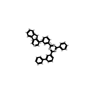 c1ccc(-c2cccc(-c3nc(-c4ccccc4)nc(-c4cccc(-c5cncc6c5Cc5ccccc5-6)c4)n3)c2)cc1